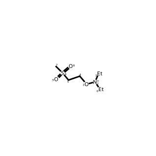 CC[N+](CC)OCCS(C)(=O)=O